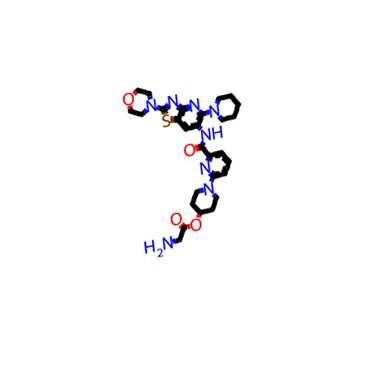 NCC(=O)OC1CCN(c2cccc(C(=O)Nc3cc4sc(N5CCOCC5)nc4nc3N3CCCCC3)n2)CC1